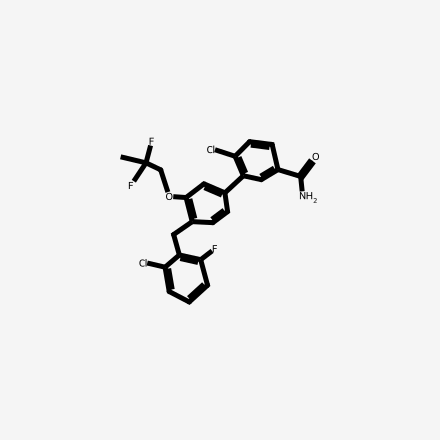 CC(F)(F)COc1cc(-c2cc(C(N)=O)ccc2Cl)ccc1Cc1c(F)cccc1Cl